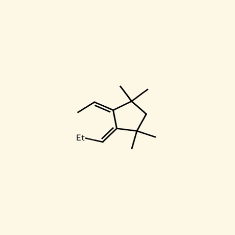 C/C=C1\C(=C/CC)C(C)(C)CC1(C)C